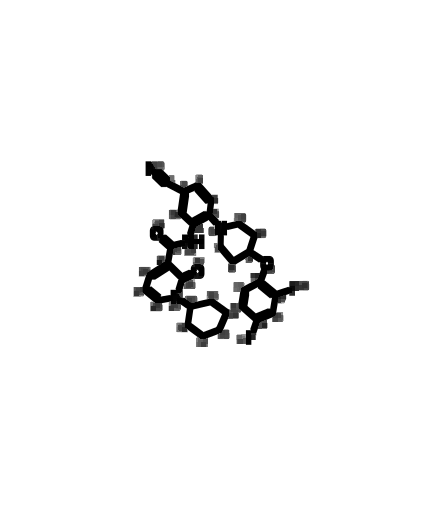 N#Cc1ccc(N2CCC(Oc3ccc(F)cc3F)CC2)c(NC(=O)c2cccn(C3CCCCC3)c2=O)c1